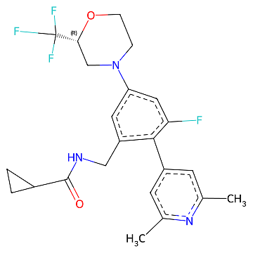 Cc1cc(-c2c(F)cc(N3CCO[C@@H](C(F)(F)F)C3)cc2CNC(=O)C2CC2)cc(C)n1